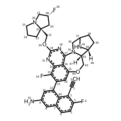 C#Cc1c(F)ccc2cc(N)cc(-c3cc4c5c(nc(OC[C@@]67CCCN6C[C@H](F)C7)nc5c3F)N3CC5CC[C@@H](N5)[C@@H]3CO4)c12